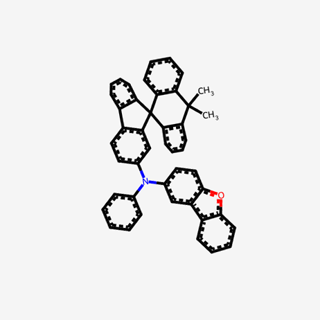 CC1(C)c2ccccc2C2(c3ccccc3-c3ccc(N(c4ccccc4)c4ccc5oc6ccccc6c5c4)cc32)c2ccccc21